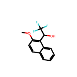 COc1ccc2ccccc2c1C(O)C(F)(F)F